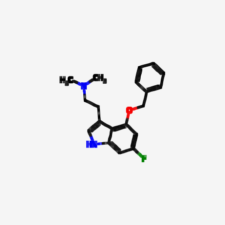 CN(C)CCc1c[nH]c2cc(F)cc(OCc3ccccc3)c12